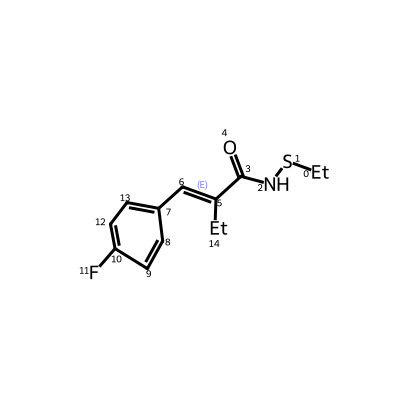 CCSNC(=O)/C(=C/c1ccc(F)cc1)CC